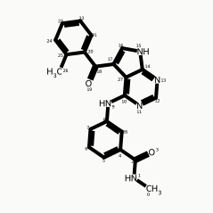 CNC(=O)c1cccc(Nc2ncnc3[nH]cc(C(=O)c4ccccc4C)c23)c1